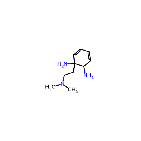 CN(C)CCC1(N)C=CC=CC1N